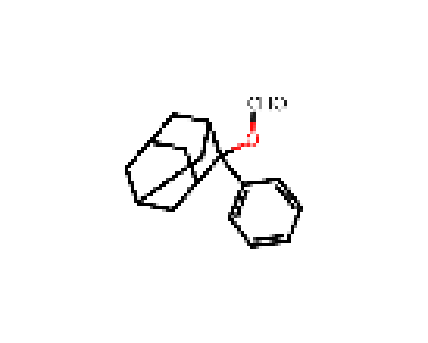 O=COC1(c2ccccc2)C2CC3CC(C2)CC1C3